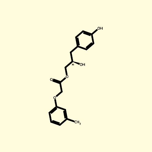 Cc1cccc(OCC(=O)OC[C@H](O)Cc2ccc(O)cc2)c1